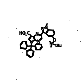 Cn1nc(-c2cnc3c(n2)c(C(=O)O)cn3C(c2ccccc2)(c2ccccc2)c2ccccc2)c2cc(O[Si](C)(C)C(C)(C)C)ccc21